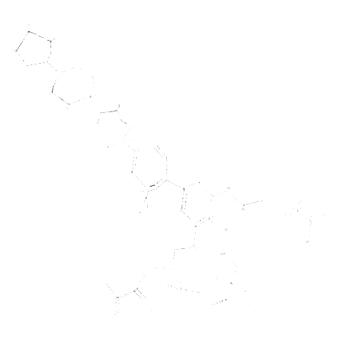 C=C(C)C(=O)OCCCc1cc(-c2ccc(C3CCC(C4CCC(C5CCCC5)CC4)CC3)cc2CC)cc(CCCOC(=O)C(=C)C)c1OCCC(CO)(CO)CCC(C)(C)C